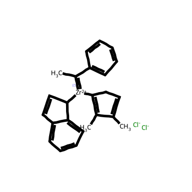 CC1=CC[C](/[Zr+2](=[C](/C)c2ccccc2)[CH]2C=Cc3ccccc32)=C1C.[Cl-].[Cl-]